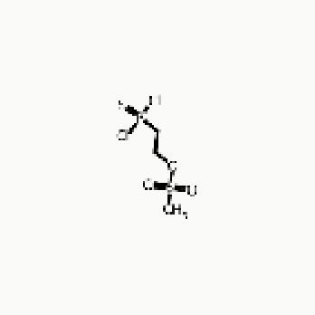 CS(=O)(=O)OCCP(=S)(Cl)Cl